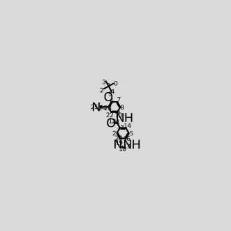 CC(C)(C)COc1ccc(NC(=O)c2ccc3[nH]cnc3c2)cc1C#N